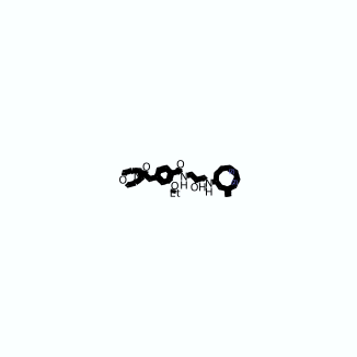 C=C1/C=C\C=C/CCC(NC[C@H](O)CNC(=O)c2ccc(CC(=O)N3C4CCC3COC4)cc2OCC)C1